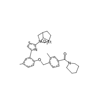 CCOC(=O)C1C2CCC1CN(c1nc(-c3cc(C)ccc3OCc3ccc(C(=O)N4CCCCC4)cc3C)cs1)C2